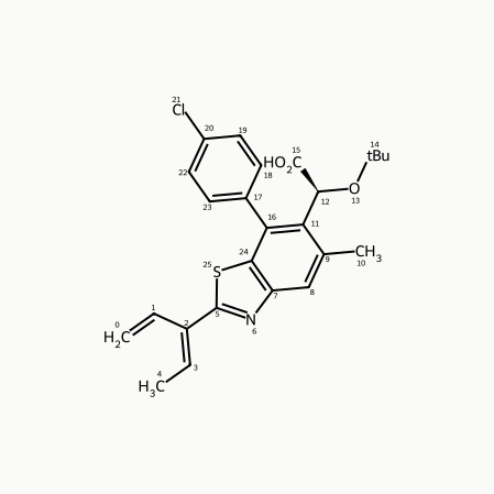 C=C/C(=C\C)c1nc2cc(C)c([C@H](OC(C)(C)C)C(=O)O)c(-c3ccc(Cl)cc3)c2s1